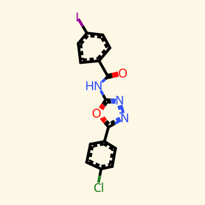 O=C(Nc1nnc(-c2ccc(Cl)cc2)o1)c1ccc(I)cc1